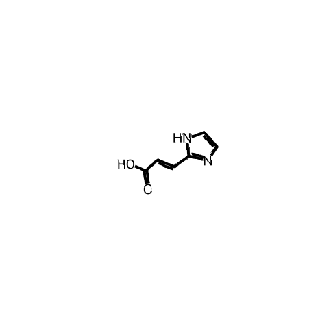 O=C(O)C=Cc1ncc[nH]1